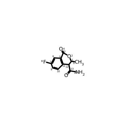 CC1OC(=O)c2cc(F)ccc2C1C(N)=O